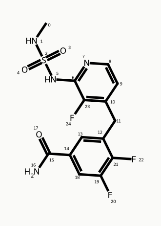 CNS(=O)(=O)Nc1nccc(Cc2cc(C(N)=O)cc(F)c2F)c1F